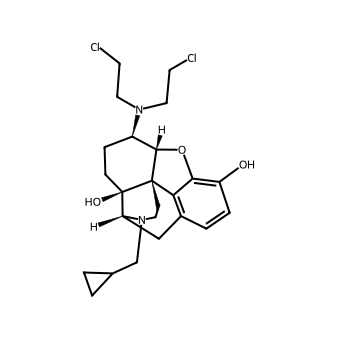 Oc1ccc2c3c1O[C@H]1[C@H](N(CCCl)CCCl)CC[C@@]4(O)[C@@H](C2)N(CC2CC2)CC[C@]314